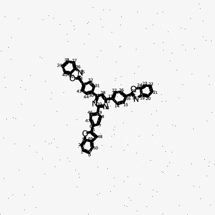 c1ccc2oc(-c3ccc(-c4nc(-c5ccc(-c6nc7ccccc7o6)cc5)cc(-c5ccc(-c6nc7ccccc7o6)cc5)n4)cc3)cc2c1